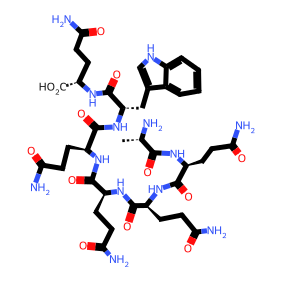 C[C@H](N)C(=O)N[C@@H](CCC(N)=O)C(=O)N[C@@H](CCC(N)=O)C(=O)N[C@@H](CCC(N)=O)C(=O)N[C@@H](CCC(N)=O)C(=O)N[C@@H](Cc1c[nH]c2ccccc12)C(=O)N[C@@H](CCC(N)=O)C(=O)O